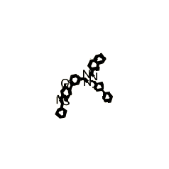 c1ccc(-c2ccc(-c3nc(-c4ccc5ccccc5c4)nc(-c4ccc5oc6cc7nc(-c8ccccc8)sc7cc6c5c4)n3)cc2)cc1